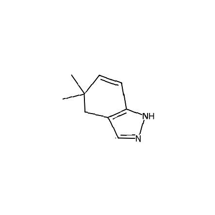 CC1(C)C=Cc2[nH]n[c]c2C1